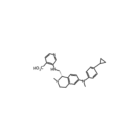 CN(c1ccc(C2CC2)cc1)c1ccc2c(c1)CCN(C)[C@@H]2CNc1cnccc1C(=O)O